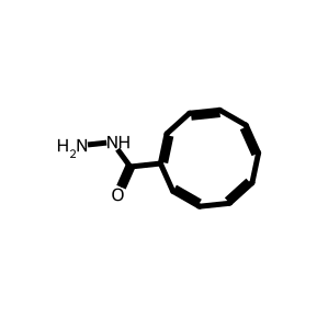 NNC(=O)c1ccccccccc1